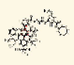 CCN(CC)CCCC[C@H](NC(=O)[C@H](CC(C)C)NC(=O)[C@H](C)NC(=O)[C@H](Cc1ccccc1)NC(=O)c1ccc(C(C)(C)C)cc1)C(=O)N[C@@H](CO)C(=O)NCC(=O)NCC(=O)N[C@@H](CCSC)C(=O)NC1CCCCCCC1